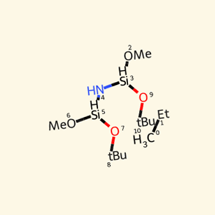 CCC.CO[SiH](N[SiH](OC)OC(C)(C)C)OC(C)(C)C